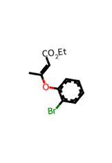 CCOC(=O)C=C(C)Oc1ccccc1Br